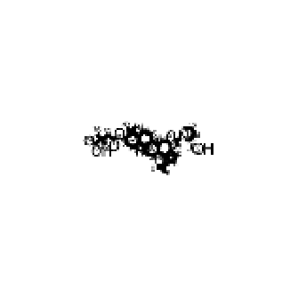 C=C(C)C1CC[C@]2(CC(=O)N3CCC[C@@H]3CO)CC[C@]3(C)[C@H](CC[C@@H]4[C@@]5(C)CC[C@H](OC(=O)CC(C)(C)C(=O)O)C(C)(C)[C@@H]5CC[C@]43C)[C@@H]12